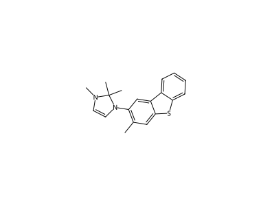 Cc1cc2sc3ccccc3c2cc1N1C=CN(C)C1(C)C